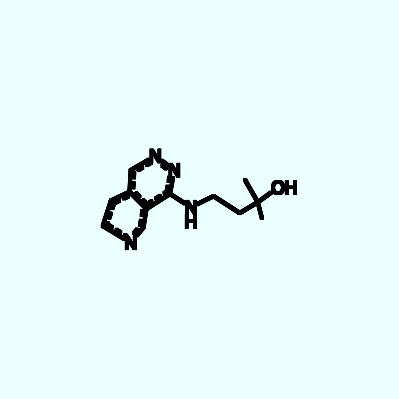 CC(C)(O)CCNc1nncc2ccncc12